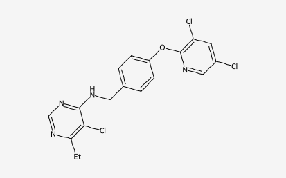 CCc1ncnc(NCc2ccc(Oc3ncc(Cl)cc3Cl)cc2)c1Cl